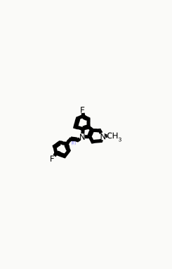 CN1CCc2c(c3cc(F)ccc3n2/C=C/c2ccc(F)cc2)C1